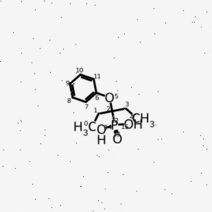 CCC(CC)(Oc1cc[c]cc1)P(=O)(O)O